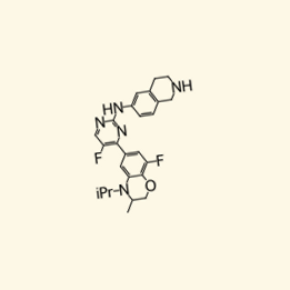 CC(C)N1c2cc(-c3nc(Nc4ccc5c(c4)CCNC5)ncc3F)cc(F)c2OCC1C